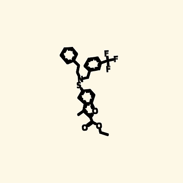 CCOC(=O)c1oc2ccc(SN(CCc3ccccc3)Cc3cccc(C(F)(F)F)c3)cc2c1C